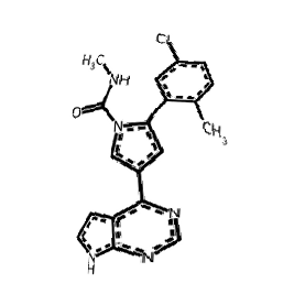 CNC(=O)n1cc(-c2ncnc3[nH]ccc23)cc1-c1cc(Cl)ccc1C